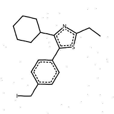 CCc1nc(C2CCCCC2)c(-c2ccc(CI)cc2)s1